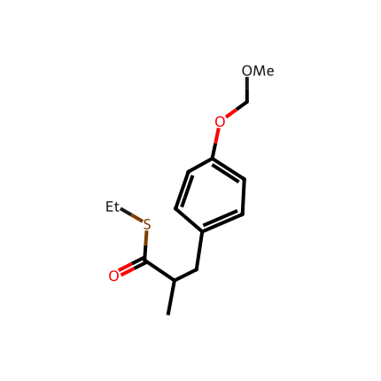 CCSC(=O)C(C)Cc1ccc(OCOC)cc1